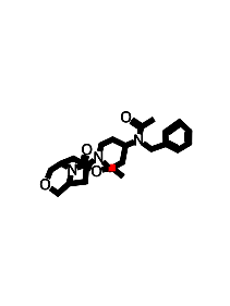 CCOC(=O)N1C2COCC1CC(N1CCC(N(Cc3ccccc3)C(C)=O)CC1)C2